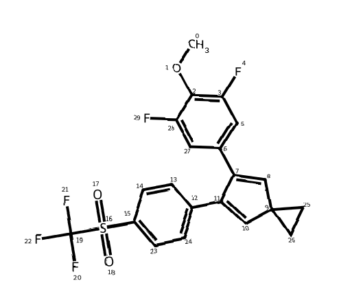 COc1c(F)cc(C2=CC3(C=C2c2ccc(S(=O)(=O)C(F)(F)F)cc2)CC3)cc1F